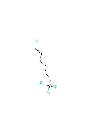 FCCC[CH]CCC(F)(F)F